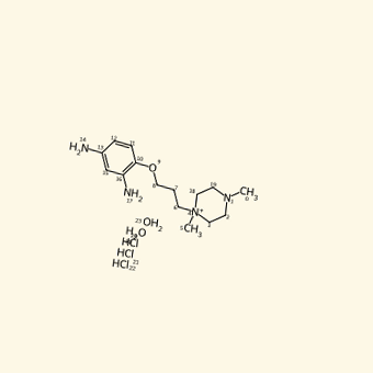 CN1CC[N+](C)(CCCOc2ccc(N)cc2N)CC1.Cl.Cl.Cl.O.O